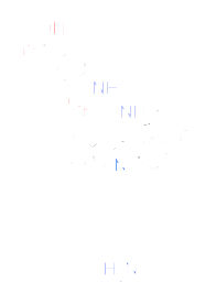 COc1cc(C(=O)O)ccc1NC(=O)[C@@H]1N[C@@H](CC(C)(C)C)[C@@]2(CN(CCCCCCN)c3ccc(Cl)cc32)[C@H]1c1ccccc1Cl